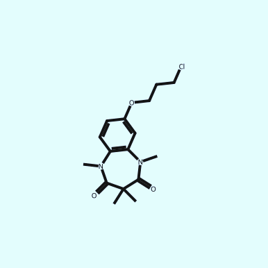 CN1C(=O)C(C)(C)C(=O)N(C)c2cc(OCCCCl)ccc21